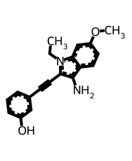 CCn1c(C#Cc2cccc(O)c2)c(N)c2ccc(OC)cc21